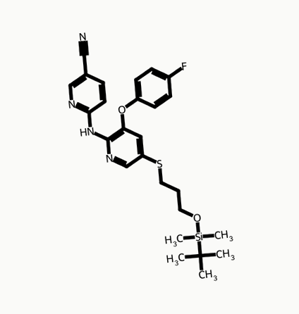 CC(C)(C)[Si](C)(C)OCCCSc1cnc(Nc2ccc(C#N)cn2)c(Oc2ccc(F)cc2)c1